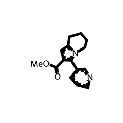 COC(=O)c1cc2n(c1-c1cccnc1)CCCC2